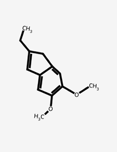 CCC1=Cc2cc(OC)c(OC)cc2C1